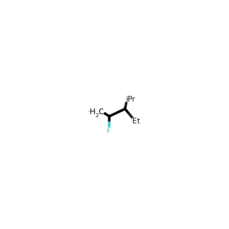 [CH2]C(F)C(CC)C(C)C